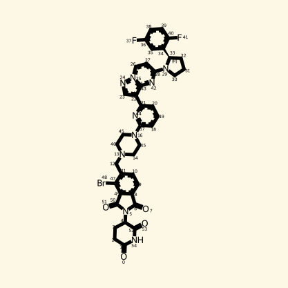 O=C1CCC(N2C(=O)c3ccc(CN4CCN(c5cccc(-c6cnn7ccc(N8CCC[C@@H]8c8cc(F)ccc8F)nc67)n5)CC4)c(Br)c3C2=O)C(=O)N1